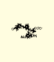 CC(C)(O)c1ccccc1CC[C@@H](SCC1(CC(=O)[O-])CC1)c1cccc(C=Cc2ccc3sc(Cl)c(F)c3n2)c1.[Na+]